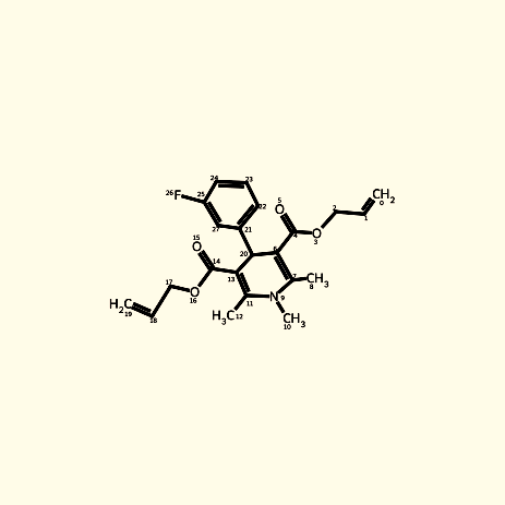 C=CCOC(=O)C1=C(C)N(C)C(C)=C(C(=O)OCC=C)C1c1cccc(F)c1